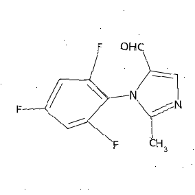 Cc1ncc(C=O)n1-c1c(F)cc(F)cc1F